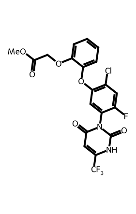 COC(=O)COc1ccccc1Oc1cc(-n2c(=O)cc(C(F)(F)F)[nH]c2=O)c(F)cc1Cl